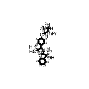 [2H]C([2H])([2H])[C@H](CCC)C([2H])([2H])Oc1ccc([C@@H](NC(=O)[C@](C)(O)c2ccccc2)C(C)(C)O)cc1